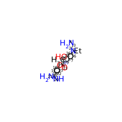 CCN(CCN)c1ccc(/C=C(\C)C(=O)Oc2ccc(C(=N)N)cc2)c(O)c1